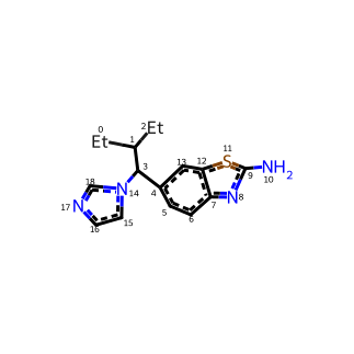 CCC(CC)C(c1ccc2nc(N)sc2c1)n1ccnc1